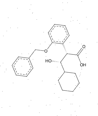 O=C(O)[C@@H](c1ccccc1OCc1ccccc1)[C@@H](O)C1CCCCC1